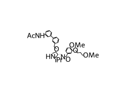 COCCCOc1cc(C(=O)N(C[C@@H]2CNC[C@H]2OCc2cccc(-c3cccc(NC(C)=O)c3)c2)C(C)C)ccc1OC